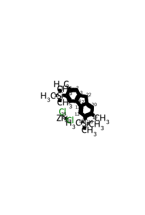 Cc1cc2c(cc1[Si](C)(C)C)-c1cc([Si](C)(C)C)c(C)cc1[CH]2.[Cl][Zr][Cl]